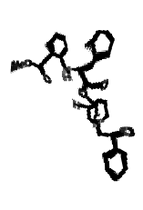 COC(=O)c1ccccc1N[C@@H](C(=O)O[C@H]1C[N+]2(CC(=O)c3ccccc3)CCC1CC2)c1ccccc1